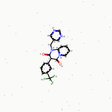 O=C1C(c2cccc(C(F)(F)F)c2)C(=O)[n+]2ccccc2N1Cc1cncnc1